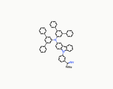 CNC(=N)c1cccc(-n2c3ccccc3c3cc(N(c4cc(-c5ccccc5)cc(-c5ccccc5)c4)c4cc(-c5ccccc5)cc(-c5ccccc5)c4)ccc32)c1